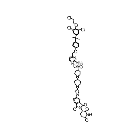 CC(C)(c1ccc(OCc2ccnc(NS(=O)(=O)C3CCN(C4CCN(C5CN(c6ccc7c(c6)C(=O)N(C6CCC(=O)NC6=O)C7=O)C5)CC4)CC3)n2)cc1)c1cc(Cl)c(OCCCl)c(Cl)c1